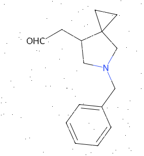 O=CCC1CN(Cc2ccccc2)CC12CC2